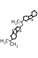 CC(C)c1ccc2c(c1)sc1cc(CC(C)c3ccc4c(c3)sc3ccccc34)sc12